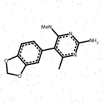 CNc1nc(N)nc(C)c1-c1ccc2c(c1)OCO2